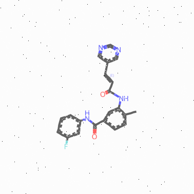 Cc1ccc(C(=O)Nc2cccc(F)c2)cc1NC(=O)/C=C/c1cncnc1